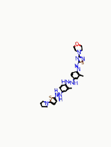 Cc1cc(NNc2ccc(NNc3ccc(N4CCCC4)s3)cc2C)ccc1/N=N/c1nc(N2CCOCC2)ns1